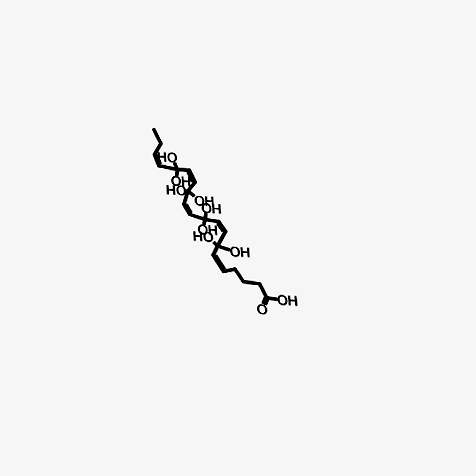 CC/C=C\C(O)(O)/C=C\C(O)(O)/C=C\C(O)(O)/C=C\C(O)(O)/C=C\CCCC(=O)O